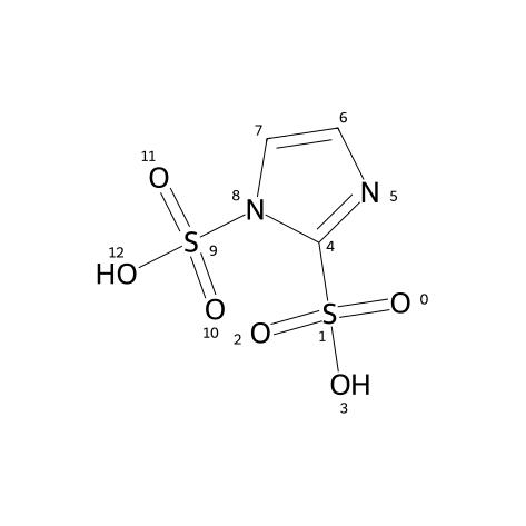 O=S(=O)(O)c1nccn1S(=O)(=O)O